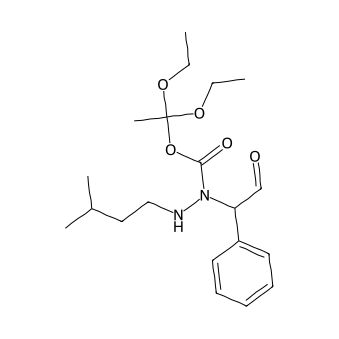 CCOC(C)(OCC)OC(=O)N(NCCC(C)C)C(C=O)c1ccccc1